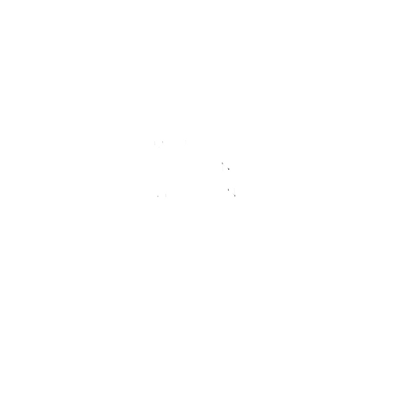 CCCn1nc(C(C)=O)c(O)c1C